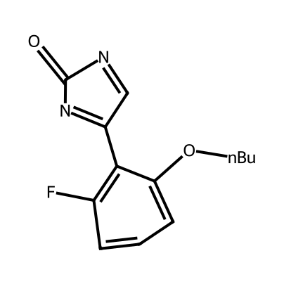 CCCCOc1cccc(F)c1C1=NC(=O)N=C1